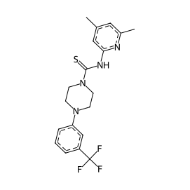 Cc1cc(C)nc(NC(=S)N2CCN(c3cccc(C(F)(F)F)c3)CC2)c1